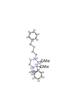 CCCN1CCN(CCCCc2ccccc2)C(OC)C1(OC)c1ccccc1